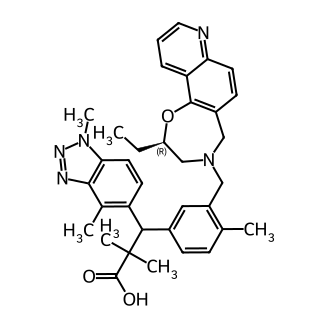 CC[C@@H]1CN(Cc2cc(C(c3ccc4c(nnn4C)c3C)C(C)(C)C(=O)O)ccc2C)Cc2ccc3ncccc3c2O1